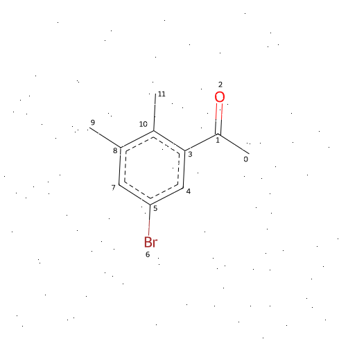 CC(=O)c1cc(Br)cc(C)c1C